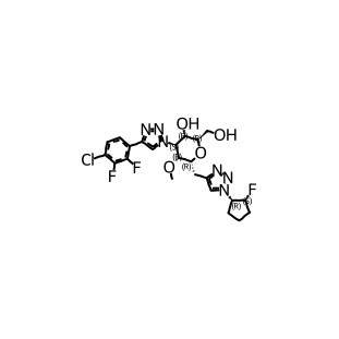 CO[C@@H]1[C@@H](n2cc(-c3ccc(Cl)c(F)c3F)nn2)[C@@H](O)[C@@H](CO)O[C@@H]1Cc1cn([C@@H]2CCC[C@@H]2F)nn1